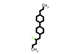 CCCC(F)CC1CCC(C2CCC(CCC)CC2)CC1